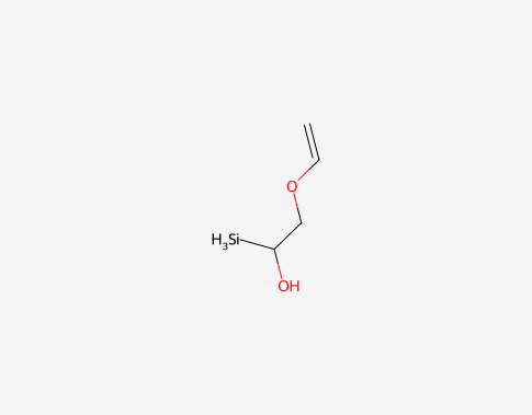 C=COCC(O)[SiH3]